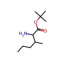 [CH2]CCC(C)C(N)C(=O)OC(C)(C)C